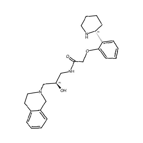 O=C(COc1ccccc1[C@H]1CCCCN1)NC[C@@H](O)CN1CCc2ccccc2C1